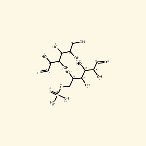 O=CC(O)C(O)C(O)C(O)CO.O=CC(O)C(O)C(O)C(O)COP(=O)(O)O